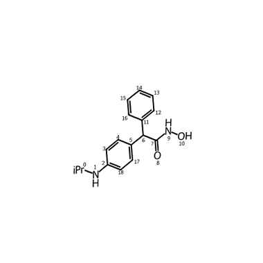 CC(C)Nc1ccc(C(C(=O)NO)c2ccccc2)cc1